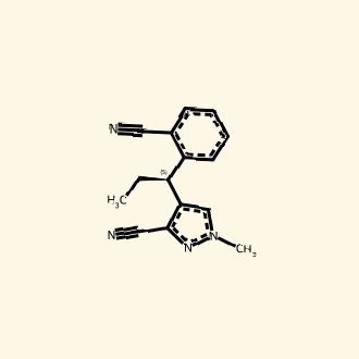 CC[C@@H](c1ccccc1C#N)c1cn(C)nc1C#N